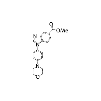 COC(=O)c1ccc2c(c1)ncn2-c1ccc(N2CCOCC2)cc1